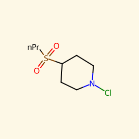 CCCS(=O)(=O)C1CCN(Cl)CC1